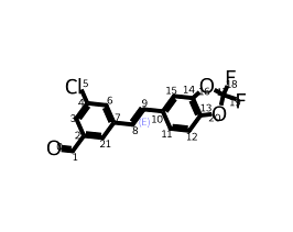 O=Cc1cc(Cl)cc(/C=C/c2ccc3c(c2)OC(F)(F)O3)c1